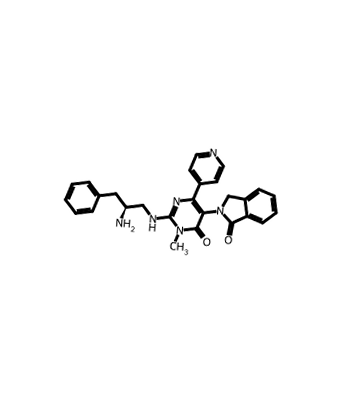 Cn1c(NC[C@@H](N)Cc2ccccc2)nc(-c2ccncc2)c(N2Cc3ccccc3C2=O)c1=O